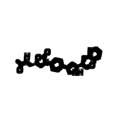 CC(=O)NC[C@H]1CN(c2ccc(C3=C[C@@H](C(C=O)Sc4ncccn4)NC3)cc2)C(=O)O1